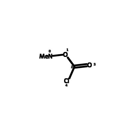 CNOC(=O)Cl